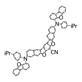 CC(C)c1ccc(N(c2ccc3cc4c(cc3c2)oc2c(C#N)c3oc5cc6cc(N(c7ccc(C(C)C)cc7)c7cccc8c7oc7ccccc78)ccc6cc5c3cc24)c2cccc3c2oc2ccccc23)cc1